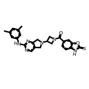 Cc1cc(C)cc(Nc2ncc3c(n2)CN(C2CN(C(=O)c4ccc5[nH]c(=S)oc5c4)C2)C3)c1